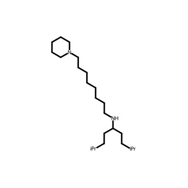 CC(C)CCC(CCC(C)C)NCCCCCCCCN1CCCCC1